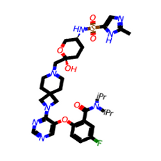 Cc1ncc(S(=O)(=O)N[C@@H]2CC[C@](O)(CN3CCC4(CC3)CN(c3ncncc3Oc3ccc(F)cc3C(=O)N(C(C)C)C(C)C)C4)OC2)[nH]1